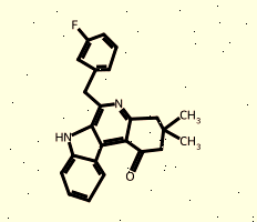 CC1(C)CC(=O)c2c(nc(Cc3cccc(F)c3)c3[nH]c4ccccc4c23)C1